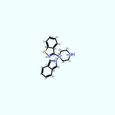 c1ccc2cn([N+]3(c4nsc5ccccc45)CCNCC3)cc2c1